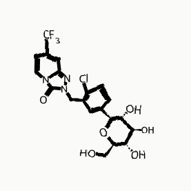 O=c1n(Cc2cc([C@@H]3O[C@H](CO)[C@@H](O)[C@H](O)[C@H]3O)ccc2Cl)nc2cc(C(F)(F)F)ccn12